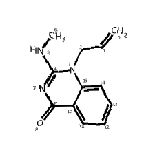 C=CCn1c(NC)nc(=O)c2ccccc21